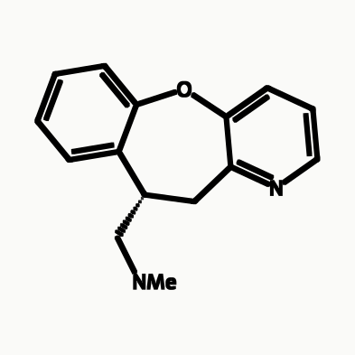 CNC[C@H]1Cc2ncccc2Oc2ccccc21